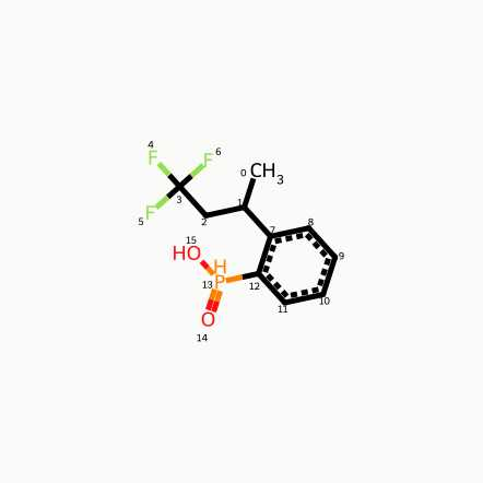 CC(CC(F)(F)F)c1ccccc1[PH](=O)O